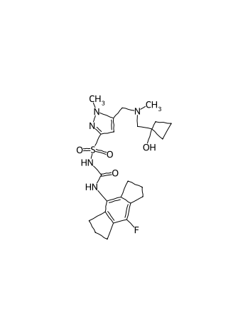 CN(Cc1cc(S(=O)(=O)NC(=O)Nc2c3c(c(F)c4c2CCC4)CCC3)nn1C)CC1(O)CCC1